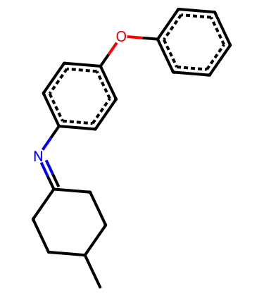 CC1CCC(=Nc2ccc(Oc3ccccc3)cc2)CC1